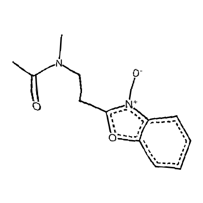 CC(=O)N(C)CCc1oc2ccccc2[n+]1[O-]